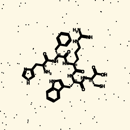 N=C(N)NCCC[C@H](NC(=O)[C@@H](Cc1ccccc1)NC(=O)[C@@H](N)Cc1c[nH]cn1)C(=O)N[C@@H](Cc1c[nH]c2ccccc12)C(=O)N[C@@H](CS)C(=O)O